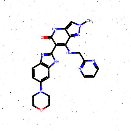 Cn1cc2[nH]c(=O)c(-c3nc4ccc(N5CCOCC5)cc4[nH]3)c(NCc3ncccn3)c2n1